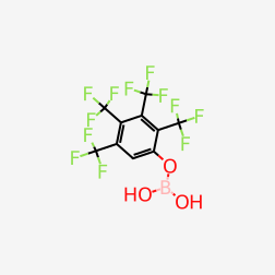 OB(O)Oc1cc(C(F)(F)F)c(C(F)(F)F)c(C(F)(F)F)c1C(F)(F)F